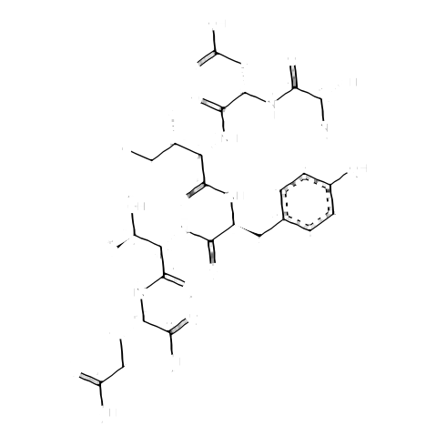 CC[C@H](C)[C@H](NC(=O)[C@H](CC(=O)O)NC(=O)[C@H](C)N)C(=O)N[C@@H](Cc1ccc(O)cc1)C(=O)N[C@H](C(=O)N[C@@H](CCC(=O)O)C(=O)O)[C@@H](C)O